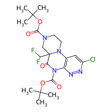 CC(C)(C)OC(=O)N1CCN2c3cc(Cl)nnc3N(C(=O)OC(C)(C)C)C(=O)C2(C(F)F)C1